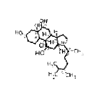 CC(C)[C@@H](C)CC[C@@H](C)[C@H]1CC[C@H]2[C@@H]3C[C@@H](O)[C@@]4(O)C[C@@H](O)CC[C@]4(C)[C@H]3[C@H](O)C[C@]12C